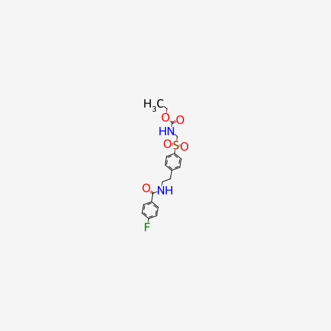 CCOC(=O)NCS(=O)(=O)c1ccc(CCNC(=O)c2ccc(F)cc2)cc1